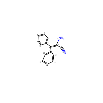 N#CC(N)=C(c1ccccc1)c1ccccc1